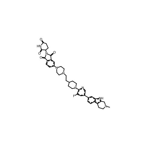 CN1CCc2c([nH]c3cc(-c4cnc(N5CCC(CCN6CCN(c7ccc8c(c7)C(=O)N(C7CCC(=O)NC7=O)C8=O)CC6)CC5)c(F)c4)ccc23)C1